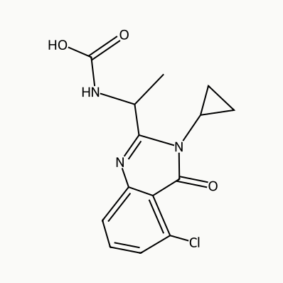 CC(NC(=O)O)c1nc2cccc(Cl)c2c(=O)n1C1CC1